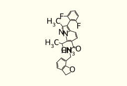 Cc1nn2c(C(C)C)c(C(=O)NCc3cccc4c3OCC4)ccc2c1-c1c(F)cccc1F